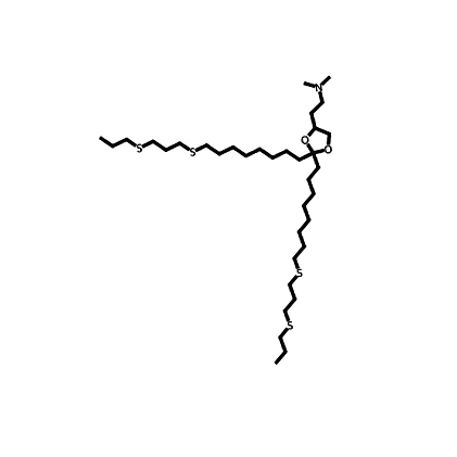 CCCSCCCSCCCCCCCCC1(CCCCCCCCSCCCSCCC)OCC(CCN(C)C)O1